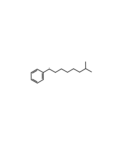 CC(C)CCCCC[CH]c1ccccc1